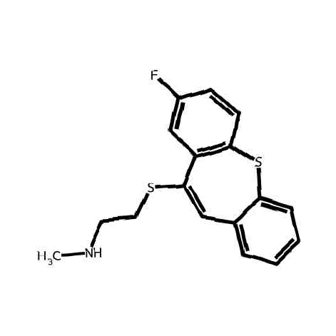 CNCCSC1=Cc2ccccc2Sc2ccc(F)cc21